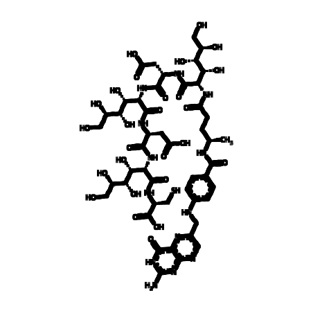 C[C@H](CCC(=O)N[C@H](C(=O)N[C@@H](CC(=O)O)C(=O)N[C@H](C(=O)N[C@@H](CC(=O)O)C(=O)N[C@H](C(=O)N[C@@H](CS)C(=O)O)[C@@H](O)[C@H](O)[C@H](O)CO)[C@@H](O)[C@H](O)[C@H](O)CO)[C@@H](O)[C@H](O)[C@H](O)CO)NC(=O)c1ccc(NCc2cnc3nc(N)[nH]c(=O)c3n2)cc1